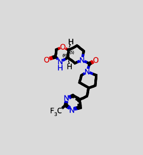 O=C1CO[C@H]2CCN(C(=O)N3CCC(Cc4cnc(C(F)(F)F)nc4)CC3)C[C@H]2N1